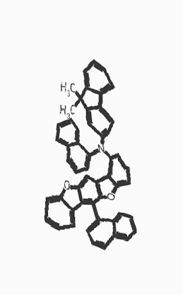 CC1(C)c2ccccc2-c2ccc(N(c3cccc4ccccc34)c3cccc4oc5c(-c6cccc7ccccc67)c6c(cc5c34)oc3ccccc36)cc21